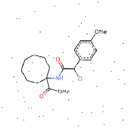 COC(=O)C1(NC(=O)C(Cl)c2ccc(OC)cc2)CCCCCCC1